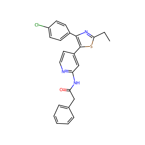 CCc1nc(-c2ccc(Cl)cc2)c(-c2ccnc(NC(=O)Cc3ccccc3)c2)s1